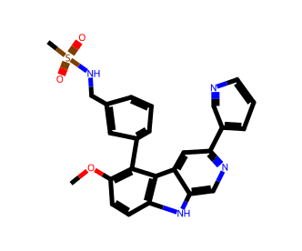 COc1ccc2[nH]c3cnc(-c4cccnc4)cc3c2c1-c1cccc(CNS(C)(=O)=O)c1